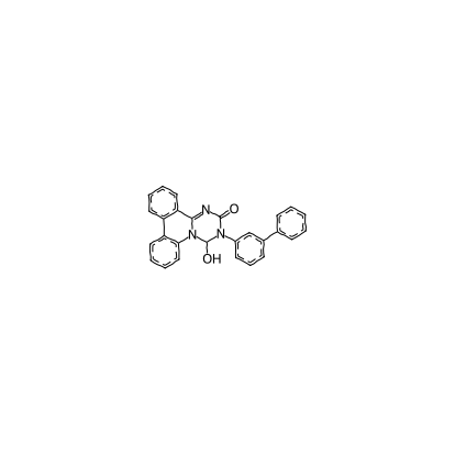 O=C1N=C2c3ccccc3-c3ccccc3N2C(O)N1c1cccc(-c2ccccc2)c1